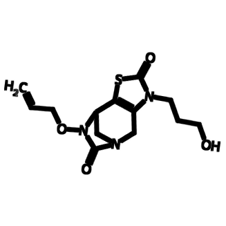 C=CCON1C(=O)N2Cc3c(sc(=O)n3CCCO)C1C2